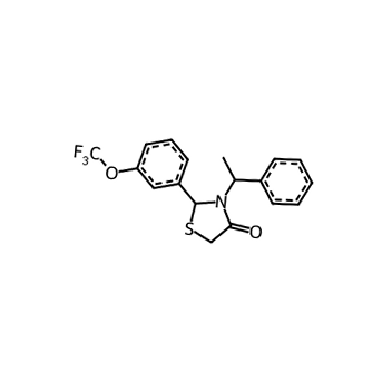 CC(c1ccccc1)N1C(=O)CSC1c1cccc(OC(F)(F)F)c1